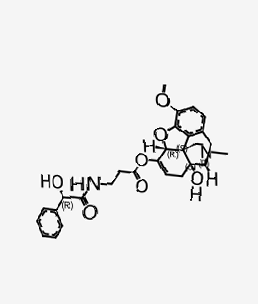 COc1ccc2c3c1O[C@H]1C(OC(=O)CCNC(=O)[C@H](O)c4ccccc4)=CC[C@@]4(O)[C@@H](C2)N(C)CC[C@]314